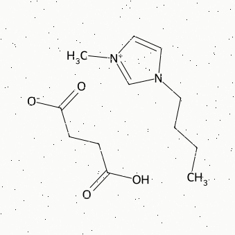 CCCCn1cc[n+](C)c1.O=C([O-])CCC(=O)O